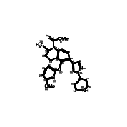 COC(=O)N1c2ccc(-c3cnn(C4CCNCC4)c3)c(Oc3cccc(OC)n3)c2CCC1C